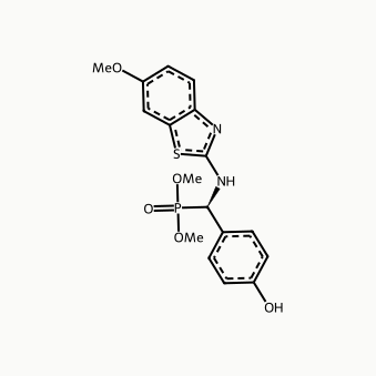 COc1ccc2nc(N[C@@H](c3ccc(O)cc3)P(=O)(OC)OC)sc2c1